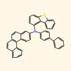 c1ccc(-c2ccc(N(c3ccc4c(ccc5ccc6ccccc6c54)c3)c3cccc4sc5ccccc5c34)cc2)cc1